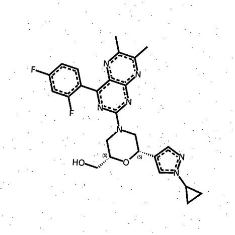 Cc1nc2nc(N3C[C@@H](CO)O[C@@H](c4cnn(C5CC5)c4)C3)nc(-c3ccc(F)cc3F)c2nc1C